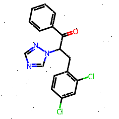 O=C(c1ccccc1)C(Cc1ccc(Cl)cc1Cl)n1cncn1